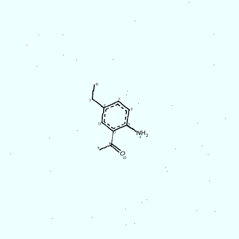 CCc1ccc(N)c(C(C)=O)c1